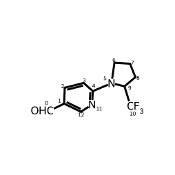 O=Cc1ccc(N2CCCC2C(F)(F)F)nc1